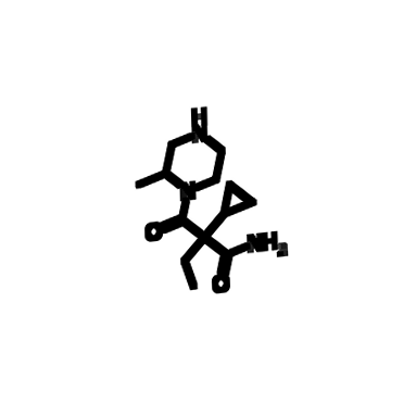 CCC(C(N)=O)(C(=O)N1CCNCC1C)C1CC1